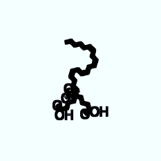 CCCCC/C=C\C/C=C\C/C=C\C/C=C\CCCC(CCCC(=O)O)(CCCC(=O)O)[N+](=O)[O-]